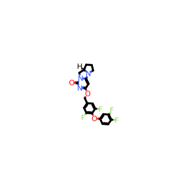 O=c1nc(OCc2cc(F)c(Oc3ccc(F)c(F)c3)c(F)c2)cc2n1C[C@@H]1CCCN21